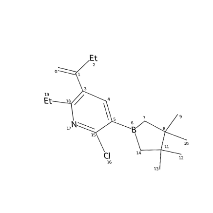 C=C(CC)c1cc(B2CC(C)(C)C(C)(C)C2)c(Cl)nc1CC